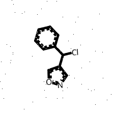 ClC(c1[c]noc1)c1ccccc1